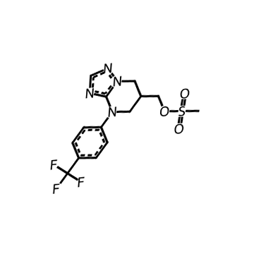 CS(=O)(=O)OCC1CN(c2ccc(C(F)(F)F)cc2)c2ncnn2C1